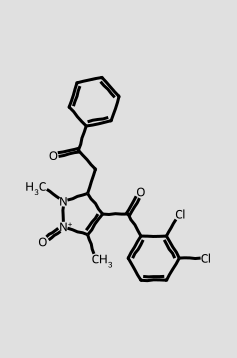 CC1=C(C(=O)c2cccc(Cl)c2Cl)C(CC(=O)c2ccccc2)N(C)[N+]1=O